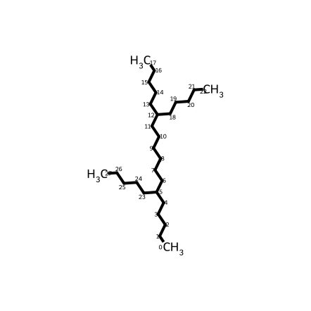 CCCCCC(CC[CH]CCCC(CCCCC)CCCCC)CCCCC